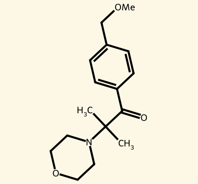 COCc1ccc(C(=O)C(C)(C)N2CCOCC2)cc1